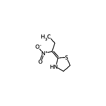 CCC(=C1NCCS1)[N+](=O)[O-]